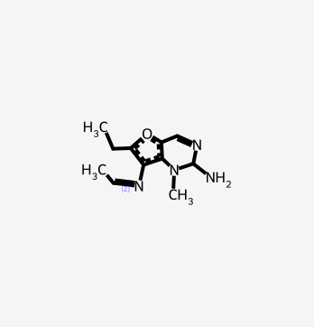 C/C=N\c1c(CC)oc2c1N(C)C(N)N=C2